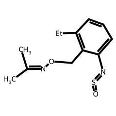 CCc1cccc(N=S=O)c1CON=C(C)C